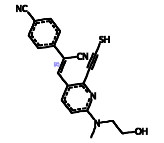 CN(CCO)c1ccc(/C=C(\C#N)c2ccc(C#N)cc2)c(C#CS)n1